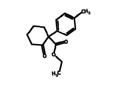 CCOC(=O)C1(c2ccc(C)cc2)CCCCC1=O